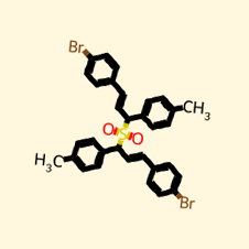 Cc1ccc(C(C=Cc2ccc(Br)cc2)S(=O)(=O)C(C=Cc2ccc(Br)cc2)c2ccc(C)cc2)cc1